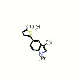 CC(C)n1cc(C#N)c2cc(-c3ccc(C(=O)O)s3)ccc21